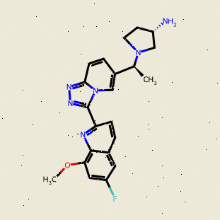 COc1cc(F)cc2ccc(-c3nnc4ccc([C@H](C)N5CC[C@H](N)C5)cn34)nc12